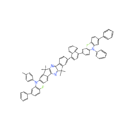 Cc1ccc(N(c2ccc3c(c2)C(C)(C)c2nc4c(nc2-3)C(C)(C)c2cc(-c3ccc(-c5ccc(N(c6ccccc6)c6cc(-c7ccccc7)ccc6F)cc5)c5ccccc35)ccc2-4)c2cc(-c3ccccc3)ccc2F)cc1